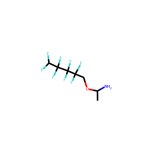 CC(N)OCC(F)(F)C(F)(F)C(F)(F)C(F)F